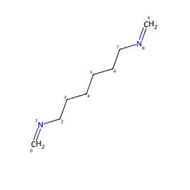 C=NCCCCCCN=C